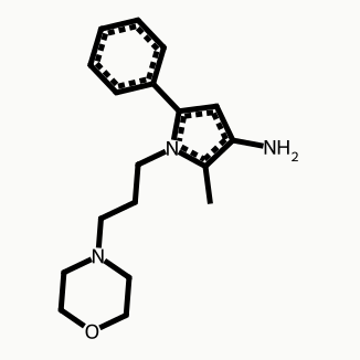 Cc1c(N)cc(-c2ccccc2)n1CCCN1CCOCC1